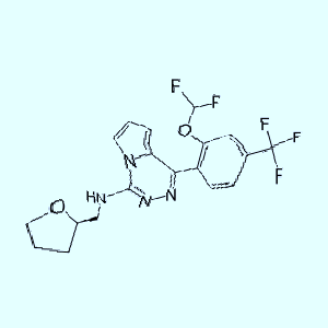 FC(F)Oc1cc(C(F)(F)F)ccc1-c1nnc(NC[C@H]2CCCO2)n2cccc12